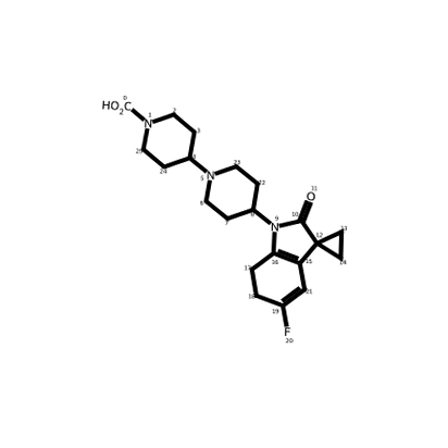 O=C(O)N1CCC(N2CCC(N3C(=O)C4(CC4)C4=C3CCC(F)=C4)CC2)CC1